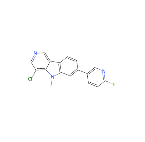 Cn1c2cc(-c3ccc(F)nc3)ccc2c2cncc(Cl)c21